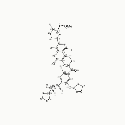 COC[C@H]1CN(c2cc(C)c3c4c(c(=O)oc3c2C)CN(C(=O)c2cc(OC3CCCC3)c(C(=O)NS(=O)(=O)N3CCCC3)cc2F)CC4)CCN1C